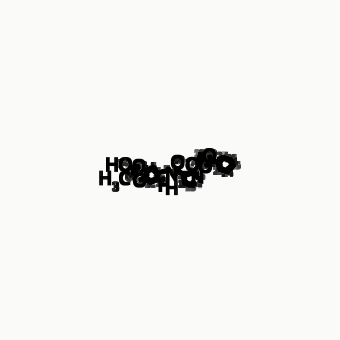 C[C@@H](Oc1ccc(CNC(=O)c2cccnc2OC2=COC(c3ccccc3)O2)c(F)c1)C(=O)O